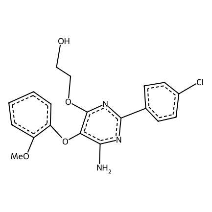 COc1ccccc1Oc1c(N)nc(-c2ccc(Cl)cc2)nc1OCCO